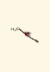 CCCCCCCCCCCC(=O)O[C@@H](CNCCCCCCCCCCOC=O)COP(=O)(O)O